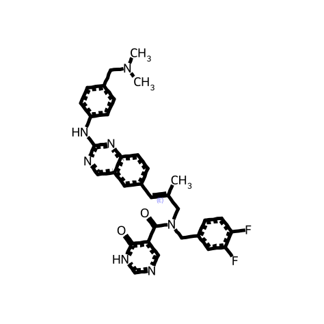 C/C(=C\c1ccc2nc(Nc3ccc(CN(C)C)cc3)ncc2c1)CN(Cc1ccc(F)c(F)c1)C(=O)c1cnc[nH]c1=O